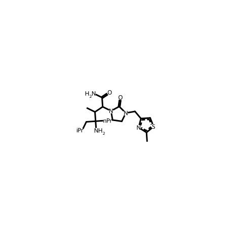 CCCC(N)(CC(C)C)C(C)C(C(N)=O)N1CCN(Cc2csc(C)n2)C1=O